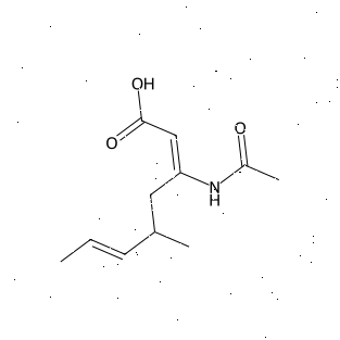 CC=CC(C)CC(=CC(=O)O)NC(C)=O